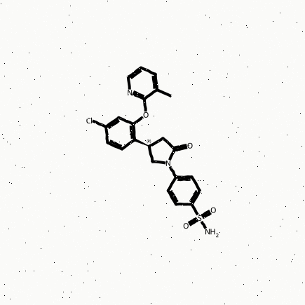 Cc1cccnc1Oc1cc(Cl)ccc1[C@H]1CC(=O)N(c2ccc(S(N)(=O)=O)cc2)C1